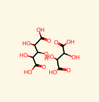 O=C(O)C(O)C(O)C(=O)O.O=C(O)C(O)C(O)C(O)C(=O)O